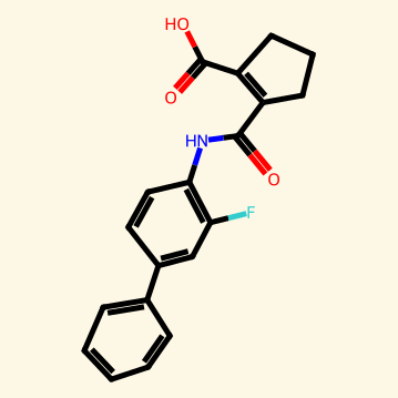 O=C(O)C1=C(C(=O)Nc2ccc(-c3ccccc3)cc2F)CCC1